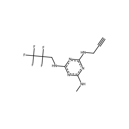 C#CCNc1nc(NC)nc(NCC(F)(F)C(F)(F)F)n1